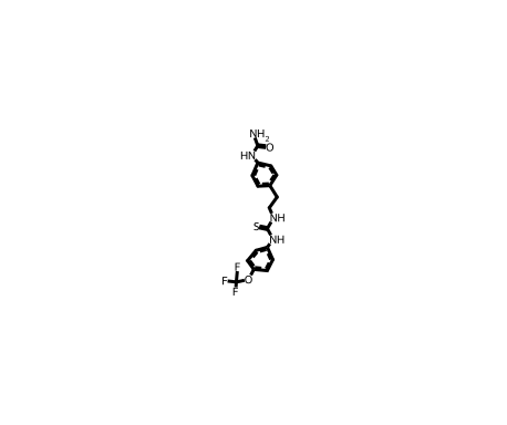 NC(=O)Nc1ccc(CCNC(=S)Nc2ccc(OC(F)(F)F)cc2)cc1